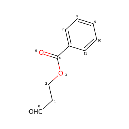 O=[C]CCOC(=O)c1ccccc1